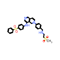 CS(=O)(=O)CCNCc1ccc(N2C=Cc3cncc(Nc4ccc(S(=O)(=O)c5ccccc5)cc4)c3C2)cc1